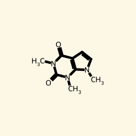 Cn1c(=O)c2ccn(C)c2n(C)c1=O